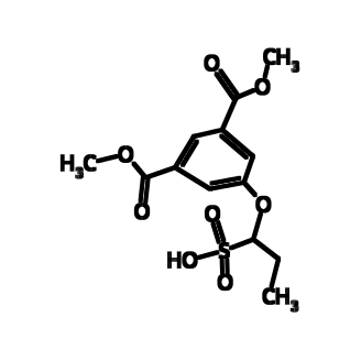 CCC(Oc1cc(C(=O)OC)cc(C(=O)OC)c1)S(=O)(=O)O